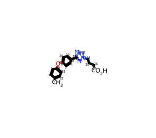 Cc1ccc(Oc2ccc(-c3nnn(CCCC(=O)O)n3)cc2)cc1